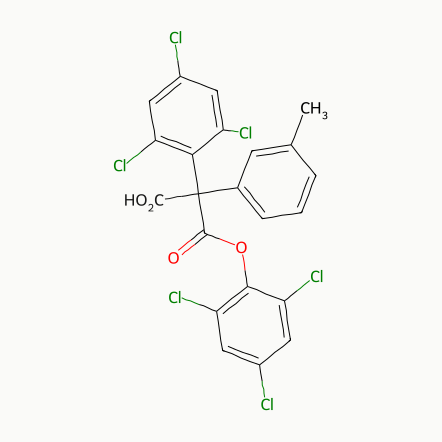 Cc1cccc(C(C(=O)O)(C(=O)Oc2c(Cl)cc(Cl)cc2Cl)c2c(Cl)cc(Cl)cc2Cl)c1